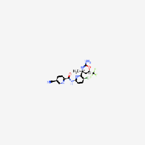 C[C@]1(c2nc(NC(=O)c3ccc(C#N)cn3)ccc2Cl)C[C@@H](C(F)(F)F)OC(N)=N1